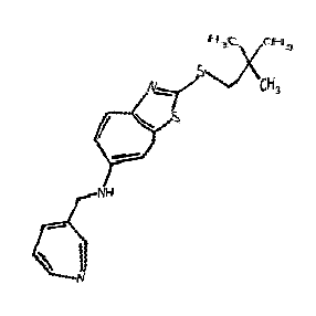 CC(C)(C)CSc1nc2ccc(NCc3cccnc3)cc2s1